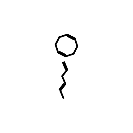 C1=CCCC=CCC1.C=CCC=CC